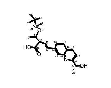 CC(O[Si](C)(C)C(C)(C)C)[C@@H](/C=C/c1ccc2ccc([C@@H](C)O)nc2c1)C(=O)O